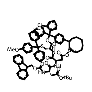 COc1ccc(C(SC[C@H](NC(=O)C(CC(=O)OC(C)(C)C)NC(=O)[C@H](CC(=O)OC(C)(C)C)NC(=O)OCC2c3ccccc3-c3ccccc32)C(=O)OC(c2ccccc2)(c2ccc(C3CCCCCCCC3)cc2)c2ccccc2Cl)(c2ccccc2)c2ccccc2)cc1